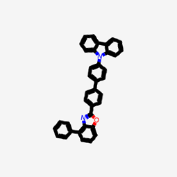 c1ccc(-c2cccc3oc(-c4ccc(-c5ccc(-n6c7ccccc7c7ccccc76)cc5)cc4)nc23)cc1